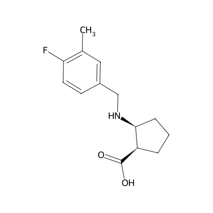 Cc1cc(CN[C@H]2CCC[C@H]2C(=O)O)ccc1F